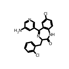 Nc1cncc(C2=NC(Cc3ccccc3Cl)C(=O)Nc3ccc(Cl)cc32)c1